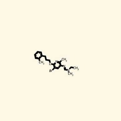 CCN(C)/C=N/c1cc(Br)c(OCCCc2ccccc2C)nc1C